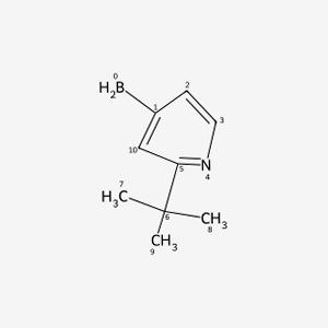 Bc1ccnc(C(C)(C)C)c1